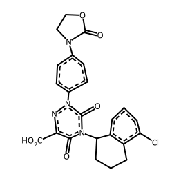 O=C(O)c1nn(-c2ccc(N3CCOC3=O)cc2)c(=O)n(C2CCCc3c(Cl)cccc32)c1=O